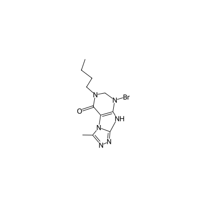 CCCCN1CN(Br)c2[nH]c3nnc(C)n3c2C1=O